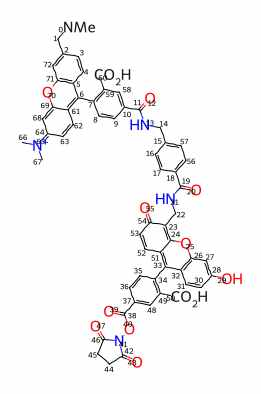 CNCc1ccc2c(-c3ccc(C(=O)NCc4ccc(C(=O)NCc5c6oc7cc(O)ccc7c(-c7ccc(C(=O)ON8C(=O)CCC8=O)cc7C(=O)O)c-6ccc5=O)cc4)cc3C(=O)O)c3ccc(=[N+](C)C)cc-3oc2c1